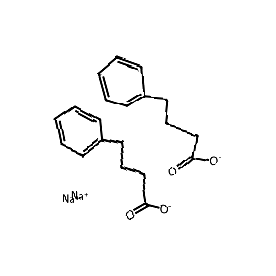 O=C([O-])CCCc1ccccc1.O=C([O-])CCCc1ccccc1.[Na+].[Na+]